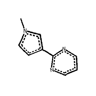 Cn1ccc(-c2ncccn2)c1